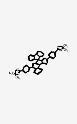 CC1(C)CSC(c2ccc(-c3ccc4c(c3)C3(c5ccccc5-c5ccccc53)c3cc(-c5ccc(C6=NC(C)(C)CS6)cc5)c5ccccc5c3-4)cc2)=N1